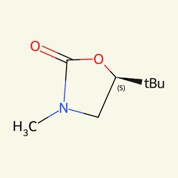 CN1C[C@H](C(C)(C)C)OC1=O